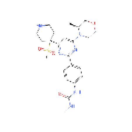 CNC(=O)Nc1ccc(-c2nc(N3CCOC[C@@H]3C)cc(C3(S(C)(=O)=O)CCNCC3)n2)cc1